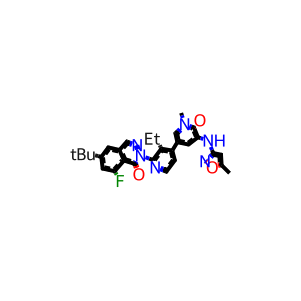 CCc1c(-c2cc(Nc3cc(C)on3)c(=O)n(C)c2)ccnc1-n1ncc2cc(C(C)(C)C)cc(F)c2c1=O